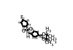 CC1(C)OB(c2ccc(NS(=O)(=O)c3ccc(F)cc3)cc2)OC1(C)C